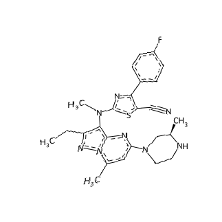 CCc1nn2c(C)cc(N3CCN[C@H](C)C3)nc2c1N(C)c1nc(-c2ccc(F)cc2)c(C#N)s1